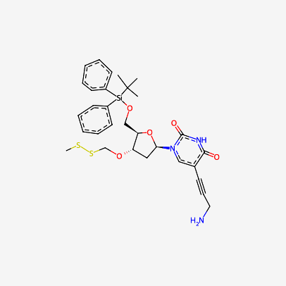 CSSCO[C@H]1C[C@H](n2cc(C#CCN)c(=O)[nH]c2=O)O[C@@H]1CO[Si](c1ccccc1)(c1ccccc1)C(C)(C)C